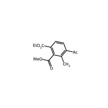 CCOC(=O)c1ccc(C(C)=O)c(C)c1C(=O)OC